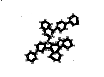 c1ccc(-c2ccc(-c3nc(-n4c5ccc(-c6ccccc6)cc5c5c6ccccc6c6c7ccccc7sc6c54)nc4ccccc34)cc2)cc1